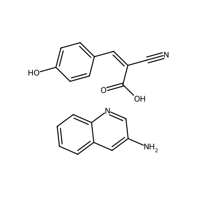 N#CC(=Cc1ccc(O)cc1)C(=O)O.Nc1cnc2ccccc2c1